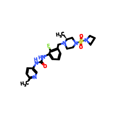 Cc1ccc(NC(=O)Nc2cccc(CN3CCN(S(=O)(=O)N4CCC4)C[C@H]3C)c2F)cn1